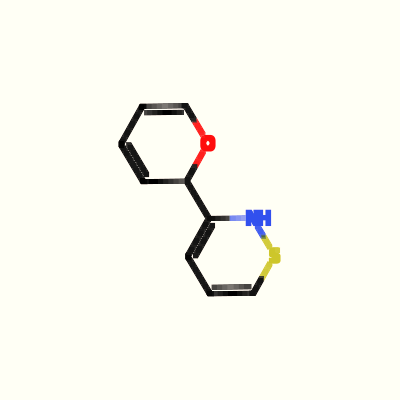 C1=COC(C2=CC=CSN2)C=C1